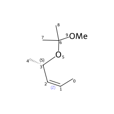 C/C=C\[C@H](C)OC(C)(C)OC